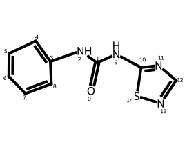 O=C(Nc1ccccc1)Nc1ncns1